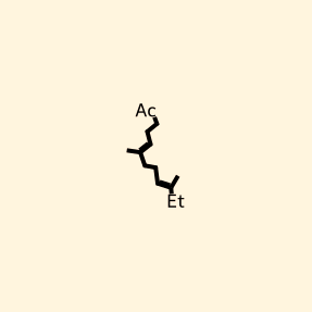 CCC(C)=CCCC(C)=CCCC(C)=O